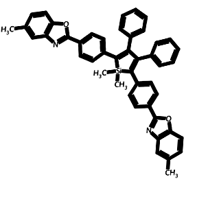 Cc1ccc2oc(-c3ccc(C4=C(c5ccccc5)C(c5ccccc5)=C(c5ccc(-c6nc7cc(C)ccc7o6)cc5)[Si]4(C)C)cc3)nc2c1